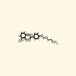 CCCOCOc1ccc(C(=O)Nc2cccc(Cl)c2Cl)cc1